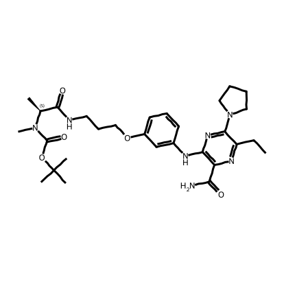 CCc1nc(C(N)=O)c(Nc2cccc(OCCCNC(=O)[C@H](C)N(C)C(=O)OC(C)(C)C)c2)nc1N1CCCC1